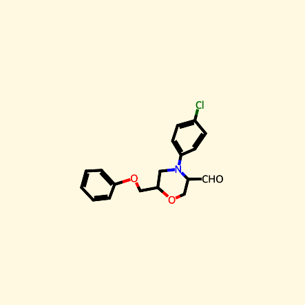 O=CC1COC(COc2ccccc2)CN1c1ccc(Cl)cc1